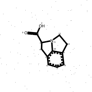 O=C(O)C1Cc2cccc3c2N1CC3